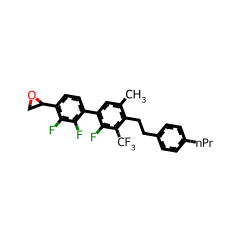 CCCc1ccc(CCc2c(C)cc(-c3ccc(C4CO4)c(F)c3F)c(F)c2C(F)(F)F)cc1